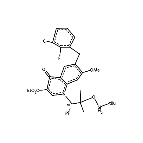 CCOC(=O)c1cn([C@@H](C(C)C)C(C)(C)O[SiH2]C(C)(C)C)c2cc(OC)c(Cc3cccc(Cl)c3F)cc2c1=O